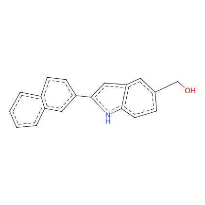 OCc1ccc2[nH]c(-c3ccc4ccccc4c3)cc2c1